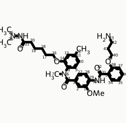 COc1cc(C(=O)N(C)c2ccc(C)cc2OCCCCCC(=O)NN(C)C)ccc1NC(=O)c1ccccc1OCCCN